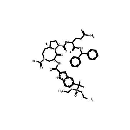 CCOP(=O)(OCC)C(F)(F)c1ccc2[nH]c(C(=O)N[C@H]3CN(C(=O)O)CC[C@H]4CC[C@@H](C(=O)NC(CCC(N)=O)C(=O)NC(c5ccccc5)c5ccccc5)N4C3=O)cc2c1